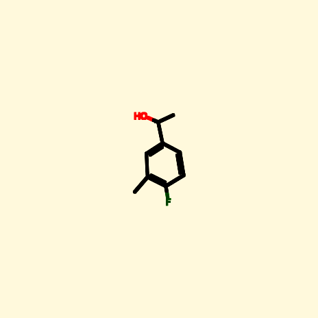 C[C](O)c1ccc(F)c(C)c1